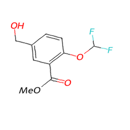 COC(=O)c1cc(CO)ccc1OC(F)F